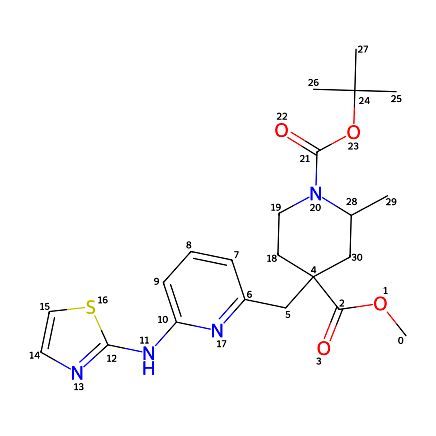 COC(=O)C1(Cc2cccc(Nc3nccs3)n2)CCN(C(=O)OC(C)(C)C)C(C)C1